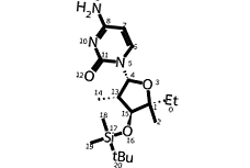 CC[C@@]1(C)O[C@@H](n2ccc(N)nc2=O)[C@@H](C)[C@@H]1O[Si](C)(C)C(C)(C)C